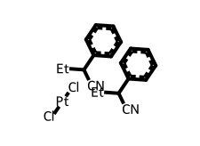 CCC(C#N)c1ccccc1.CCC(C#N)c1ccccc1.[Cl][Pt][Cl]